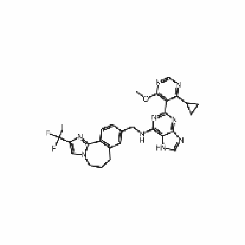 COc1ncnc(C2CC2)c1-c1nc(NCc2ccc3c(c2)CCCn2cc(C(F)(F)F)nc2-3)c2[nH]cnc2n1